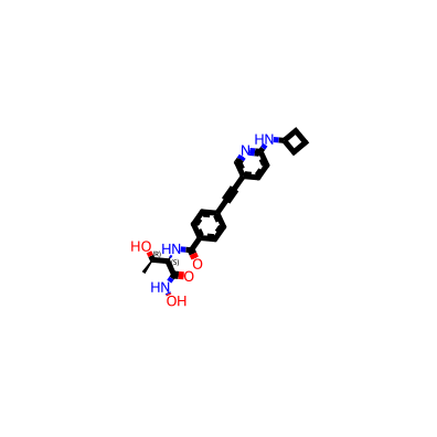 C[C@@H](O)[C@H](NC(=O)c1ccc(C#Cc2ccc(NC3CCC3)nc2)cc1)C(=O)NO